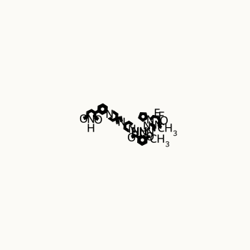 COc1cccc(C(=O)NN2CCC(N3CC4(CCN(c5cccc(C6CCC(=O)NC6=O)c5)CC4)C3)CC2)c1Nc1ncc2c(n1)N(C1CCCC1)CC(F)(F)C(=O)N2C